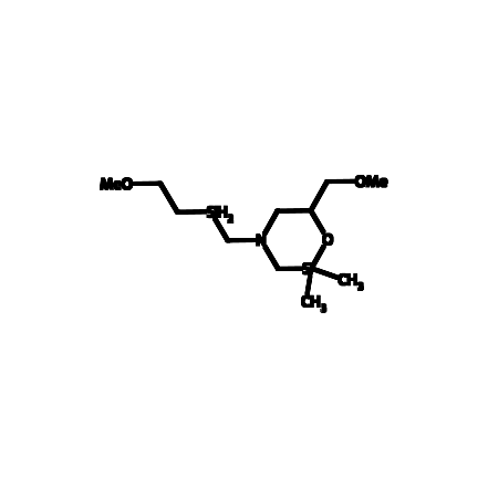 COCC[SiH2]CN1CC(COC)O[Si](C)(C)C1